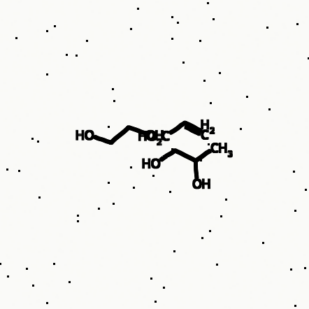 C=CC(=O)O.CC(O)CO.OCCO